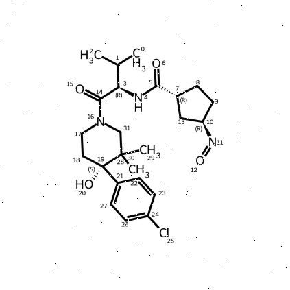 CC(C)[C@@H](NC(=O)[C@@H]1CC[C@@H](N=O)C1)C(=O)N1CC[C@](O)(c2ccc(Cl)cc2)C(C)(C)C1